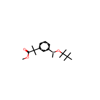 COC(=O)C(C)(C)c1cccc(B(C)OC(C)(C)C(C)(C)C)c1